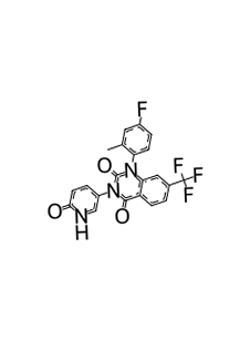 Cc1cc(F)ccc1-n1c(=O)n(-c2ccc(=O)[nH]c2)c(=O)c2ccc(C(F)(F)F)cc21